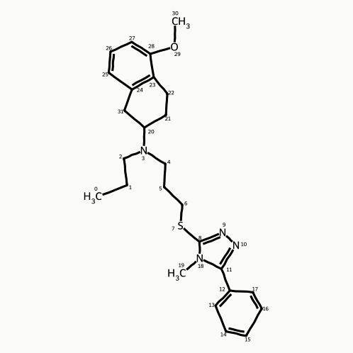 CCCN(CCCSc1nnc(-c2ccccc2)n1C)C1CCc2c(cccc2OC)C1